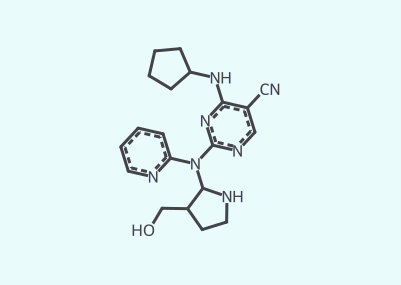 N#Cc1cnc(N(c2ccccn2)C2NCCC2CO)nc1NC1CCCC1